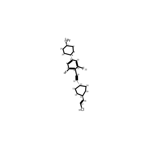 CCC[C@H]1CC[C@H](c2cc(F)c(C#C[C@H]3CC[C@H](C=CCl)CC3)c(F)c2)CC1